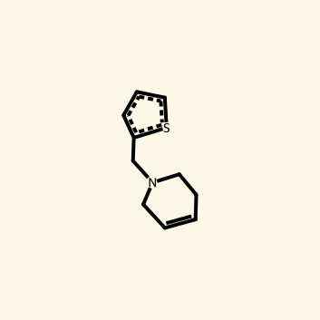 C1=CCN(Cc2cccs2)CC1